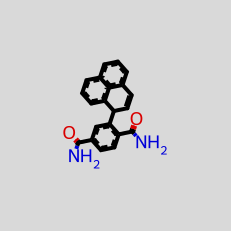 NC(=O)c1ccc(C(N)=O)c(C2C=Cc3cccc4cccc2c34)c1